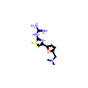 CN(C)Cc1ccc(-c2csc(NC(=N)N)n2)o1